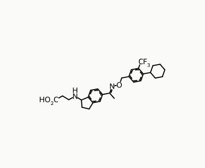 C/C(=N\OCc1ccc(C2CCCCC2)c(C(F)(F)F)c1)c1ccc2c(c1)CCC2NCCC(=O)O